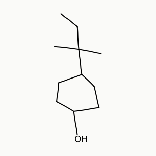 CCC(C)(C)C1CCC(O)CC1